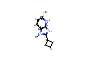 Cn1c(C2CCC2)nc2nc(F)ccc21